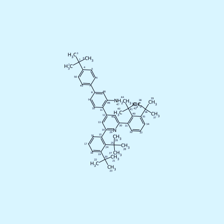 CC(C)(C)c1ccc(-c2ccc(-c3cc(-c4cccc(C(C)(C)C)c4C(C)(C)C)nc(-c4cccc(C(C)(C)C)c4C(C)(C)C)c3)c(N)c2)cc1